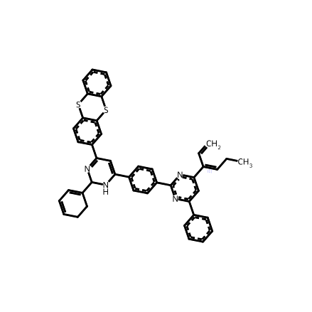 C=C/C(=C\CC)c1cc(-c2ccccc2)nc(-c2ccc(C3=CC(c4ccc5c(c4)Sc4ccccc4S5)=NC(C4=CC=CCC4)N3)cc2)n1